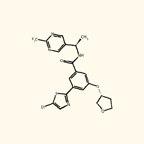 CCc1cnc(-c2cc(O[C@@H]3CCOC3)cc(C(=O)N[C@H](C)c3cnc(C(F)(F)F)nc3)c2)s1